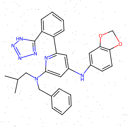 CC(C)CN(Cc1ccccc1)c1cc(Nc2ccc3c(c2)OCO3)cc(-c2ccccc2-c2nnn[nH]2)n1